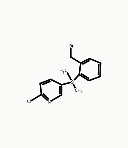 C[Si](C)(c1ccc(Cl)nc1)c1ccccc1CBr